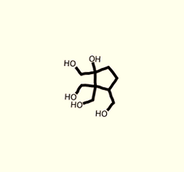 OCC1CCC(O)(CO)C1(CO)CO